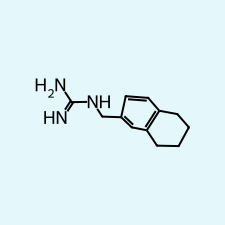 N=C(N)NCc1ccc2c(c1)CCCC2